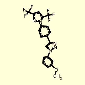 COc1cccc(-n2cc(-c3ccc(-n4nc(C(F)(F)F)cc4C(F)(F)F)cc3)nn2)c1